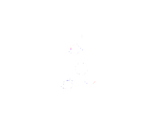 Cc1noc(C2COCC(=O)N2c2ccc(-c3noc(C(F)(F)F)n3)cc2)n1